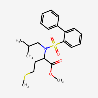 COC(=O)C(CCSC)N(CC(C)C)S(=O)(=O)c1ccccc1-c1ccccc1